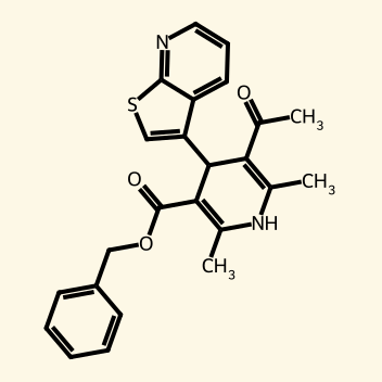 CC(=O)C1=C(C)NC(C)=C(C(=O)OCc2ccccc2)C1c1csc2ncccc12